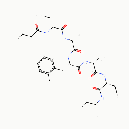 Cc1ccccc1C[C@H](NC(=O)[C@H](NC(=O)[C@@H](CC(=O)O)NC(=O)CCC(=O)O)C(C)C)C(=O)N[C@H](C(=O)N[C@@H](CC(C)C)C(=O)N[C@H](C=O)CC(F)(F)F)C(C)(C)C